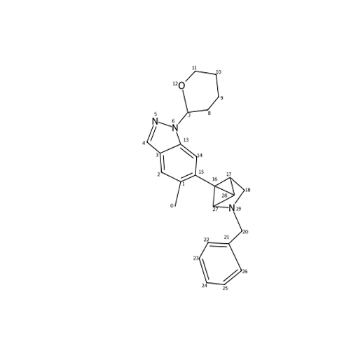 Cc1cc2cnn(C3CCCCO3)c2cc1C12C3CN(Cc4ccccc4)C1C32